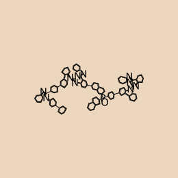 O=P(c1ccc(-c2ccc3c(c2)c2ccccc2n3-c2nc3ccccc3c3nc4ccccc4n23)cc1)(c1ccc2ccccc2c1)c1ccc2ccc(-c3ccc4nc(-n5c6ccccc6c6cc(-c7ccc(-c8nc9ccccc9n8-c8ccc(-c9ccccc9)cc8)cc7)ccc65)n5c6ccccc6nc5c4c3)cc2c1